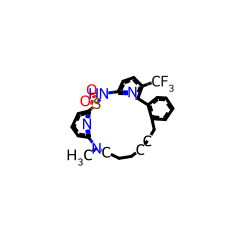 CN1CCCCCCc2ccccc2-c2nc(ccc2C(F)(F)F)NS(=O)(=O)c2cccc1n2